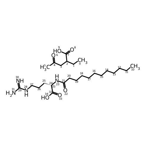 CCC(CC(C)=O)C(=O)O.CCCCCCCCCCCC(=O)N[C@@H](CCCNC(=N)N)C(=O)O